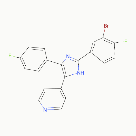 Fc1ccc(-c2nc(-c3ccc(F)c(Br)c3)[nH]c2-c2ccncc2)cc1